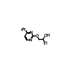 CCC(O)COc1nccc(C(C)C)n1